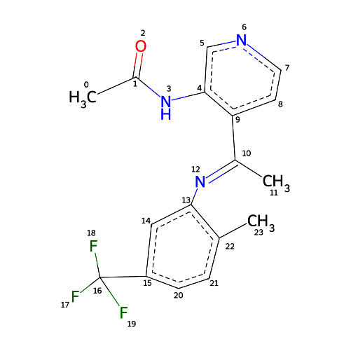 CC(=O)Nc1cnccc1/C(C)=N/c1cc(C(F)(F)F)ccc1C